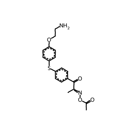 CC(=O)O/N=C(\C)C(=O)c1ccc(Sc2ccc(OCCN)cc2)cc1